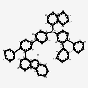 c1ccc(-c2ccc(N(c3ccc(-c4ccc(-c5ccccc5)c(-c5cccc6c5oc5ccccc56)c4)cc3)c3cccc4ccccc34)cc2-c2ccccc2)cc1